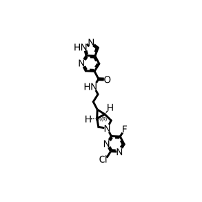 O=C(NCCC1[C@H]2CN(c3nc(Cl)ncc3F)C[C@@H]12)c1cnc2[nH]ncc2c1